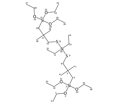 CCO[Si](CC(C)(C)CS[Si](CC)(CC)SCC(C)(C)C[Si](OCC)(OCC)OCC)(OCC)OCC